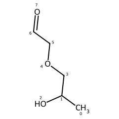 CC(O)COCC=O